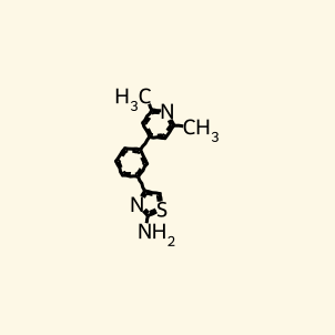 Cc1cc(-c2cccc(-c3csc(N)n3)c2)cc(C)n1